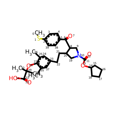 CSc1ccc(C(=O)C2CN(C(=O)OC3CCCC3)CC2CCc2cc(C)c(OC(C)(C)C(=O)O)c(C)c2)cc1